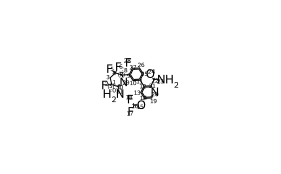 C[C@]1(F)CC(F)(F)[C@@](C)(c2cc(-c3cc(OC(F)F)cnc3C(N)=O)ccc2F)N=C1N